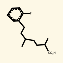 CC(CCc1ccccc1F)CCC(C)C(=O)O